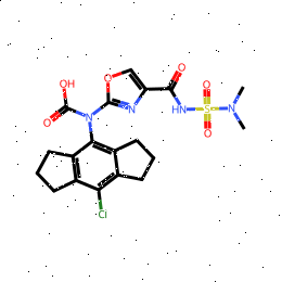 CN(C)S(=O)(=O)NC(=O)c1coc(N(C(=O)O)c2c3c(c(Cl)c4c2CCC4)CCC3)n1